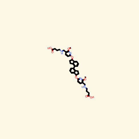 COc1nc(OC2CCc3c(-c4cccc5c4CCC5Oc4ccc(CNCCCC(=O)O)c(OC)n4)cccc32)ccc1CNCCCC(=O)O